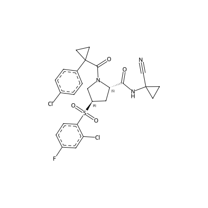 N#CC1(NC(=O)[C@@H]2C[C@@H](S(=O)(=O)c3ccc(F)cc3Cl)CN2C(=O)C2(c3ccc(Cl)cc3)CC2)CC1